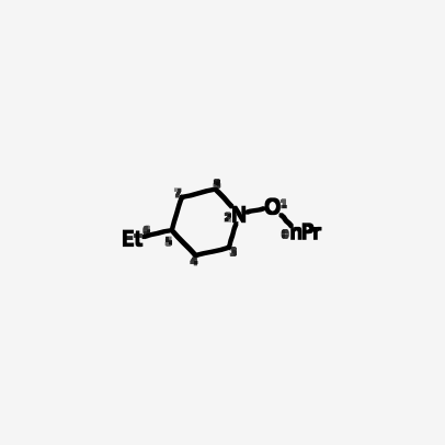 CCCON1CCC(CC)CC1